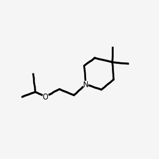 CC(C)OCCN1CCC(C)(C)CC1